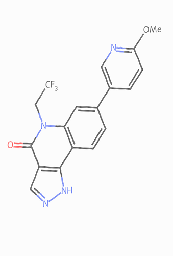 COc1ccc(-c2ccc3c4[nH]ncc4c(=O)n(CC(F)(F)F)c3c2)cn1